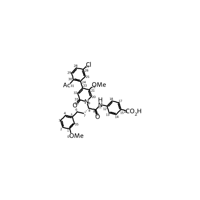 COc1cccc(CC[C@@H](C(=O)Nc2ccc(C(=O)O)cc2)n2cc(OC)c(-c3cc(Cl)ccc3C(C)=O)cc2=O)c1